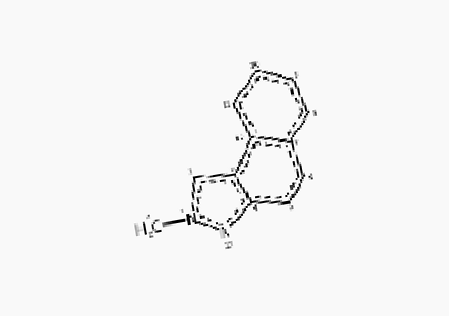 Cn1cc2c(ccc3ccccc32)n1